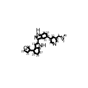 CN(C)Cc1cncc(-c2ccc3[nH]nc(-c4cc5c(-c6ccoc6)cccc5[nH]4)c3c2)c1